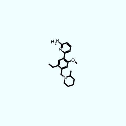 CCc1cc(-c2cccc(N)n2)c(OC)cc1CN1CCCCC1C